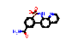 NC(=O)c1ccc2c(c1)-c1ccc3cccnc3c1NS2(=O)=O